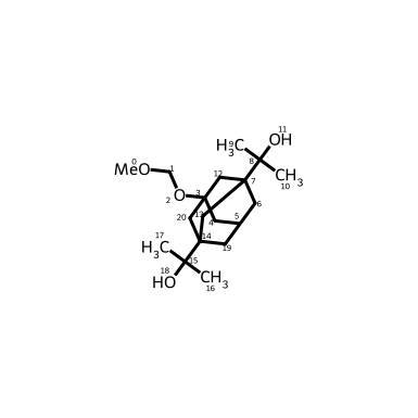 COCOC12CC3CC(C(C)(C)O)(C1)CC(C(C)(C)O)(C3)C2